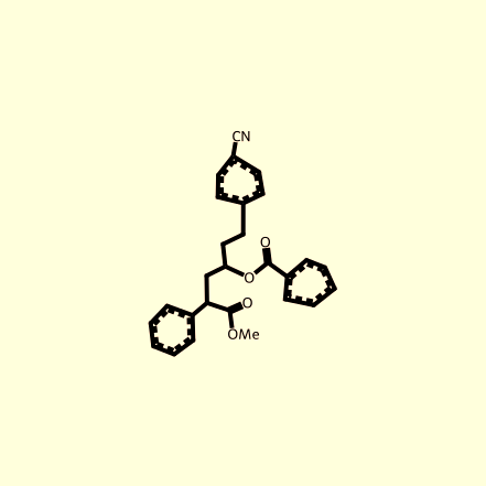 COC(=O)C(CC(CCc1ccc(C#N)cc1)OC(=O)c1ccccc1)c1ccccc1